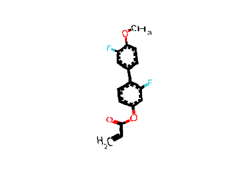 C=CC(=O)Oc1ccc(-c2ccc(OC)c(F)c2)c(F)c1